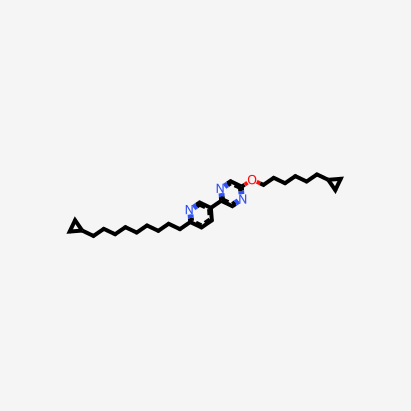 c1cc(CCCCCCCCCC2CC2)ncc1-c1cnc(OCCCCCCC2CC2)cn1